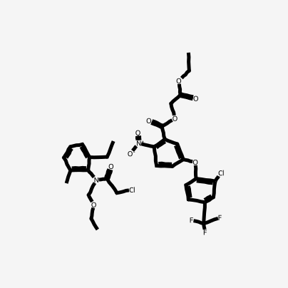 CCOC(=O)COC(=O)c1cc(Oc2ccc(C(F)(F)F)cc2Cl)ccc1[N+](=O)[O-].CCOCN(C(=O)CCl)c1c(C)cccc1CC